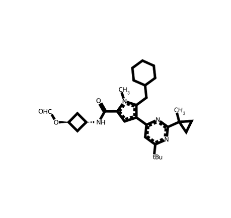 Cn1c(C(=O)N[C@H]2C[C@H](OC=O)C2)cc(-c2cc(C(C)(C)C)nc(C3(C)CC3)n2)c1CC1CCCCC1